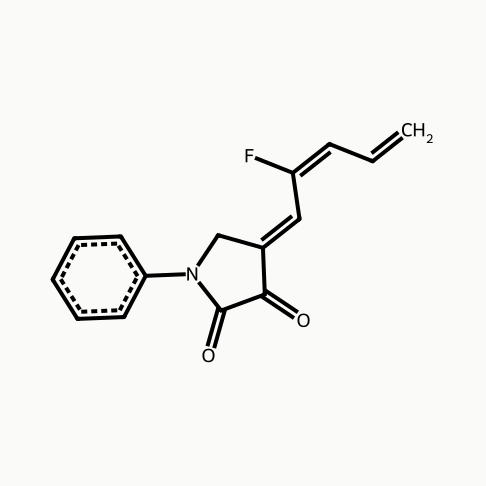 C=C/C=C(F)\C=C1/CN(c2ccccc2)C(=O)C1=O